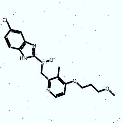 COCCCOc1ccnc(C[S+]([O-])c2nc3cc(Cl)ccc3[nH]2)c1C